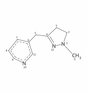 CN1CCC(Cc2cccnc2)=N1